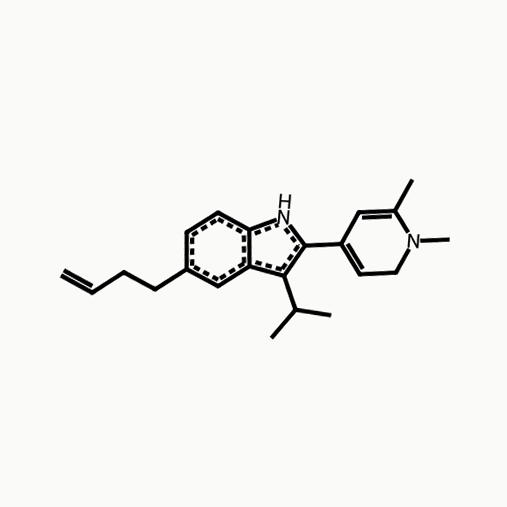 C=CCCc1ccc2[nH]c(C3=CCN(C)C(C)=C3)c(C(C)C)c2c1